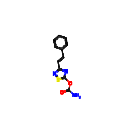 NC(=O)Oc1nc(C=Cc2ccccc2)ns1